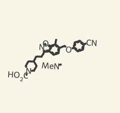 CNC.Cc1c(COc2ccc(C#N)cc2)ccc2c(CCC3CCN(C(=O)O)CC3)noc12